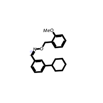 COc1ccccc1CO/N=[C]\c1cccc(C2CCCCC2)c1